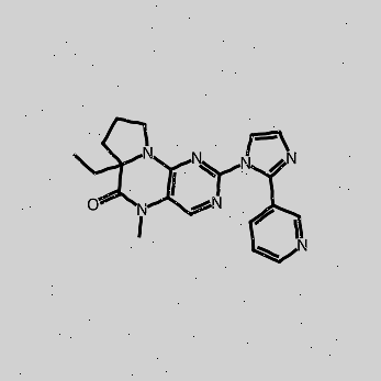 CCC12CCCN1c1nc(-n3ccnc3-c3cccnc3)ncc1N(C)C2=O